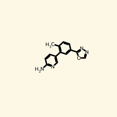 Cc1ccc(-c2nnco2)cc1-c1ccc(N)nc1